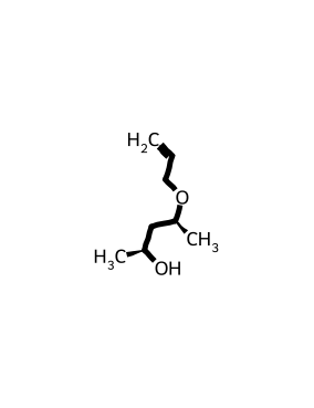 C=CCO[C@@H](C)C[C@H](C)O